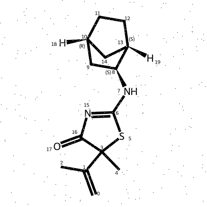 C=C(C)C1(C)SC(N[C@H]2C[C@@H]3CC[C@H]2C3)=NC1=O